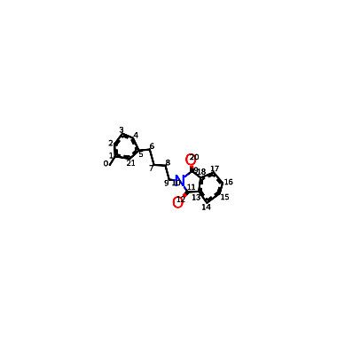 Cc1cccc(CCCCN2C(=O)c3ccccc3C2=O)c1